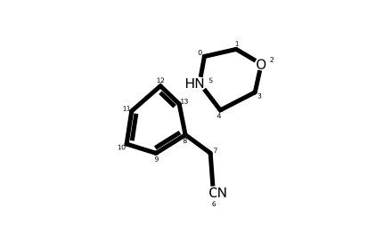 C1COCCN1.N#CCc1ccccc1